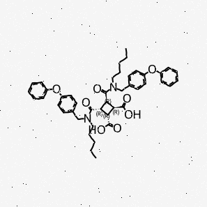 CCCCCN(Cc1ccc(Oc2ccccc2)cc1)C(=O)[C@H]1[C@@H](C(=O)O)[C@H](C(=O)O)[C@@H]1C(=O)N(CCCCC)Cc1ccc(Oc2ccccc2)cc1